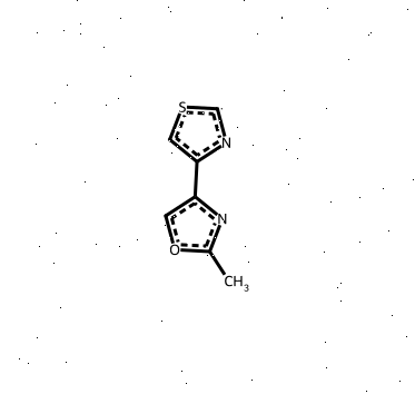 Cc1nc(-c2cs[c]n2)co1